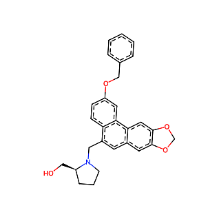 OC[C@@H]1CCCN1Cc1cc2cc3c(cc2c2cc(OCc4ccccc4)ccc12)OCO3